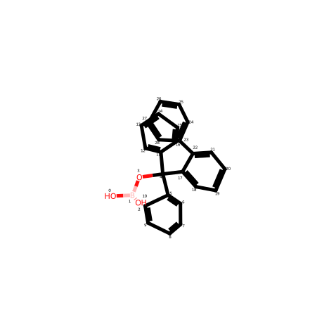 OB(O)OC(c1ccccc1)(c1ccccc1)c1ccccc1-c1ccccc1